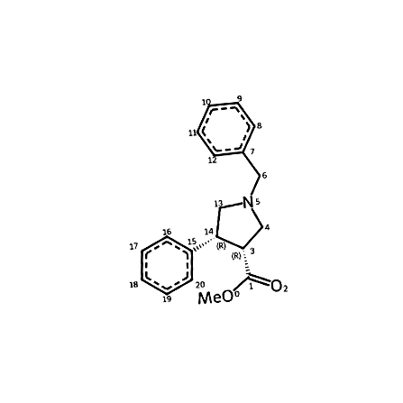 COC(=O)[C@H]1CN(Cc2ccccc2)C[C@H]1c1ccccc1